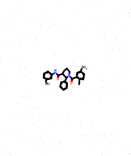 Cc1ccc([N+](=O)[O-])cc1C(=O)N1CCCC(C(=O)Nc2cccc(C(C)(C)C)c2)C1c1ccccc1